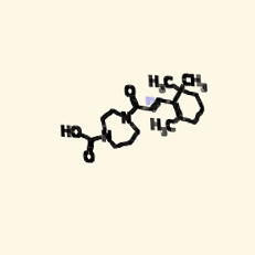 CC1=C(/C=C/C(=O)N2CCCN(C(=O)O)CC2)C(C)(C)CCC1